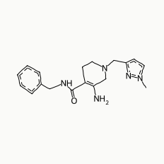 Cn1ccc(CN2CCC(C(=O)NCc3ccccc3)=C(N)C2)n1